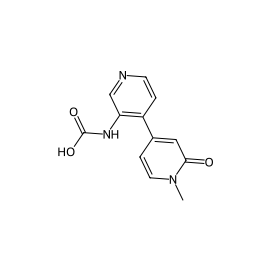 Cn1ccc(-c2ccncc2NC(=O)O)cc1=O